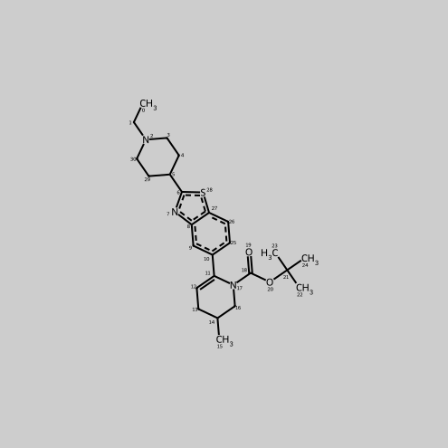 CCN1CCC(c2nc3cc(C4=CCC(C)CN4C(=O)OC(C)(C)C)ccc3s2)CC1